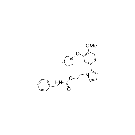 COc1ccc(-c2ccnn2CCOC(=O)NCc2ccccc2)cc1O[C@@H]1CCOC1